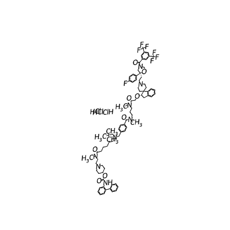 CN(CCN1CCC(OC(=O)Nc2ccccc2-c2ccccc2)CC1)C(=O)CCCCCN(Cc1ccc(C(=O)N(C)CCCN(C)C(=O)CO[C@H]2Cc3ccccc3C23CCN(CC[C@]2(c4ccc(F)cc4)CN(C(=O)c4cc(C(F)(F)F)cc(C(F)(F)F)c4)CO2)CC3)cc1)CC(C)(C)C.Cl.Cl.Cl